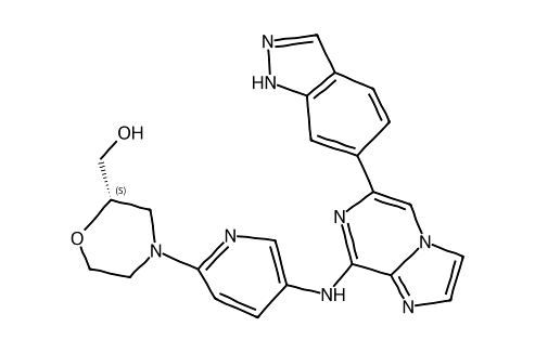 OC[C@@H]1CN(c2ccc(Nc3nc(-c4ccc5cn[nH]c5c4)cn4ccnc34)cn2)CCO1